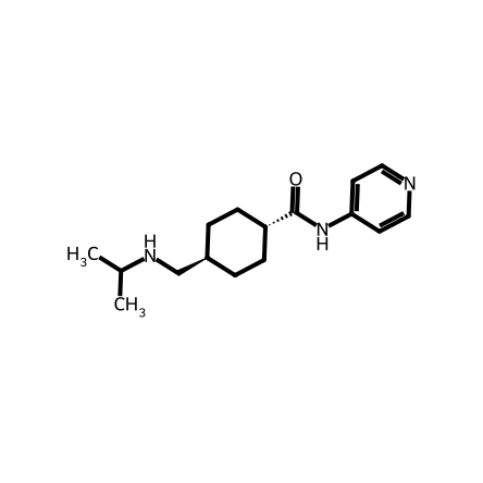 CC(C)NC[C@H]1CC[C@H](C(=O)Nc2ccncc2)CC1